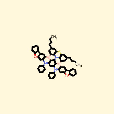 CCCCc1cc2c3c(c1)B1c4cc5c(cc4N(c4ccccc4)c4cc6c7c(c41)N3c1c(cc(CCCC)cc1B7c1cc3c(cc1N6c1ccccc1)oc1ccccc13)S2)oc1ccccc15